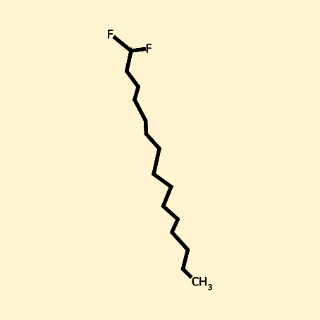 CCCCCCCCCCCCCC[C](F)F